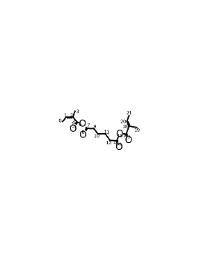 CC=C(C)C(=O)OC(=O)CCCCC(=O)OC(=O)C(C)=CC